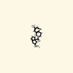 NC1CC2=CCCC2(C(=O)N2CCc3ncc(Cl)cc3C2)C1